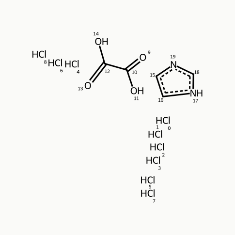 Cl.Cl.Cl.Cl.Cl.Cl.Cl.Cl.Cl.O=C(O)C(=O)O.c1c[nH]cn1